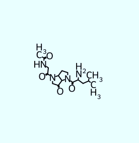 CC(=O)NCC(=O)N1CC(=O)C2C1CCN2C(=O)C(N)CC(C)C